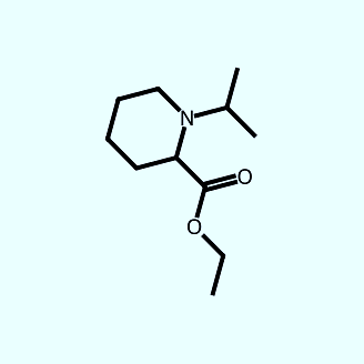 CCOC(=O)C1CCCCN1C(C)C